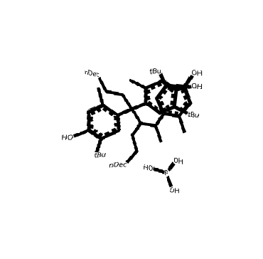 CCCCCCCCCCCCC(C(C)c1cc(C(C)(C)C)c(O)cc1C)C(CCCCCCCCCCCC)(c1cc(C(C)(C)C)c(O)cc1C)c1cc(C(C)(C)C)c(O)cc1C.OP(O)O